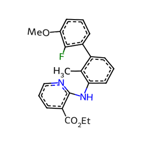 CCOC(=O)c1cccnc1Nc1cccc(-c2cccc(OC)c2F)c1C